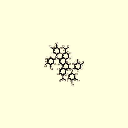 Cc1ccc(N(c2ccc(C)c(C)c2)c2cc3c4ccc(C(C)C)cc4c(N(c4ccc(C)c(C)c4)c4ccc(C)c(C)c4)cc3c3ccc(C(C)C)cc23)cc1C